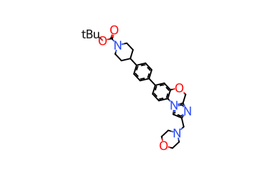 CC(C)(C)OC(=O)N1CCC(c2ccc(-c3ccc4c(c3)OCc3nc(CN5CCOCC5)cn3-4)cc2)CC1